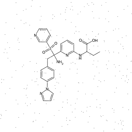 CCC(Nc1cccc(C(N)(Cc2ccc(-n3cccn3)cc2)S(=O)(=O)c2cccnc2)n1)C(=O)O